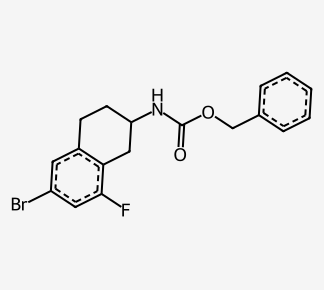 O=C(NC1CCc2cc(Br)cc(F)c2C1)OCc1ccccc1